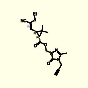 C#CCn1c(C)nn(COC(=O)[C@@H]2[C@@H](/C=C(/C#N)SCC)C2(C)C)c1=O